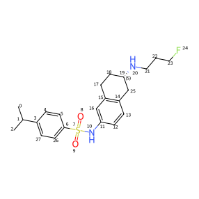 CC(C)c1ccc(S(=O)(=O)Nc2ccc3c(c2)CC[C@H](NCCCF)C3)cc1